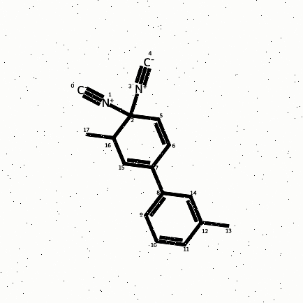 [C-]#[N+]C1([N+]#[C-])C=CC(c2cccc(C)c2)=CC1C